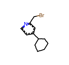 BrCc1cc(C2CCCCC2)ccn1